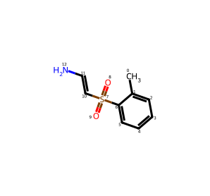 Cc1ccccc1S(=O)(=O)C=CN